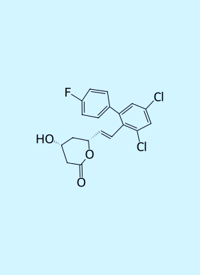 O=C1C[C@H](O)C[C@H](/C=C/c2c(Cl)cc(Cl)cc2-c2ccc(F)cc2)O1